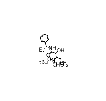 CC[C@@H](NC(=O)C(O)C(CC(F)(F)F)N(C=O)OC(C)(C)C)c1ccccc1